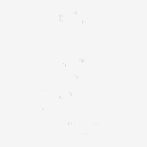 CC(C)(O)c1cc(-n2c3nc(Nc4ccc5c(c4)CCNC5(C)C)ncc3c(=O)n2CC(F)(F)F)ccc1F